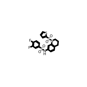 O=S(=O)(Nc1ccc2c(c1)N(S(=O)(=O)c1cccs1)CCC2)c1ccc(F)c(F)c1